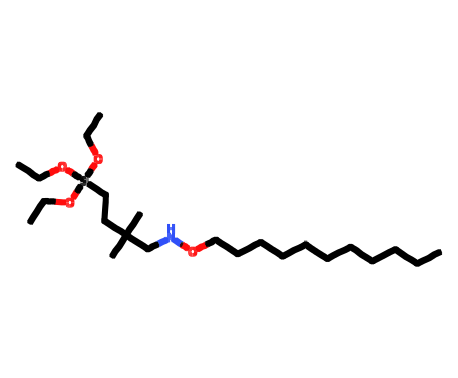 CCCCCC[CH]CCCCONCC(C)(C)CC[Si](OCC)(OCC)OCC